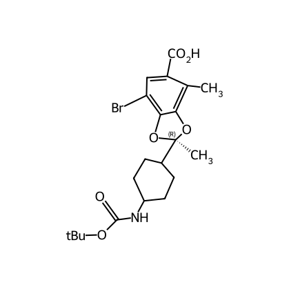 Cc1c(C(=O)O)cc(Br)c2c1O[C@@](C)(C1CCC(NC(=O)OC(C)(C)C)CC1)O2